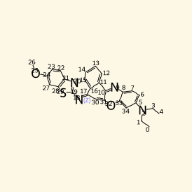 CCN(CC)c1ccc2nc3c4ccccc4/c(=N\c4nc5ccc(OC)cc5s4)cc-3oc2c1